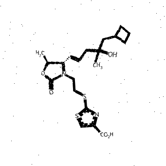 C[C@@H]1OC(=O)N(CCSc2nc(C(=O)O)cs2)[C@H]1/C=C/CC(C)(O)CC1CCC1